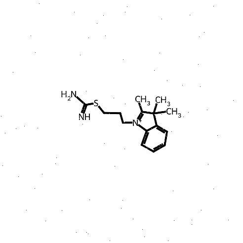 CC1=[N+](CCCSC(=N)N)c2ccccc2C1(C)C